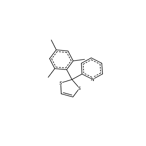 Cc1cc(C)c(C2(c3ccccn3)SC=CS2)c(C)c1